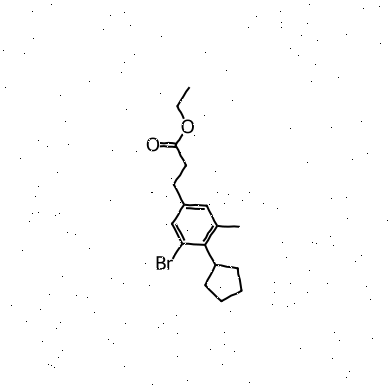 CCOC(=O)CCc1cc(C)c(C2CCCC2)c(Br)c1